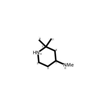 CNC1CCNC(C)(C)C1